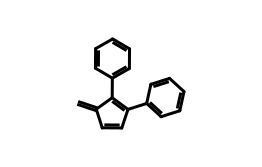 C=C1C=CC(c2ccccc2)=C1c1ccccc1